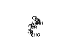 O=CCN1CCC[C@H](CNc2nc(-c3c[nH]c4ncc(Cl)cc34)ncc2F)C1